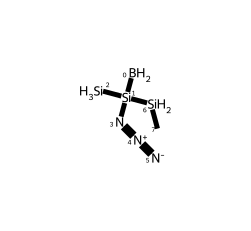 B[Si]([SiH3])(N=[N+]=[N-])[SiH2]C